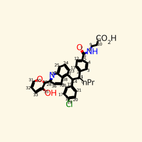 CCC[C@H](c1ccc(C(=O)NCCC(=O)O)cc1)C(c1ccc(Cl)cc1)c1cccc2nc(C3OC=CC=C3O)ccc12